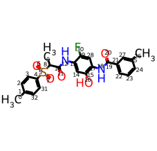 Cc1ccc(S(=O)(=O)C(C)C(=O)Nc2cc(O)c(NC(=O)c3cccc(C)c3)cc2F)cc1